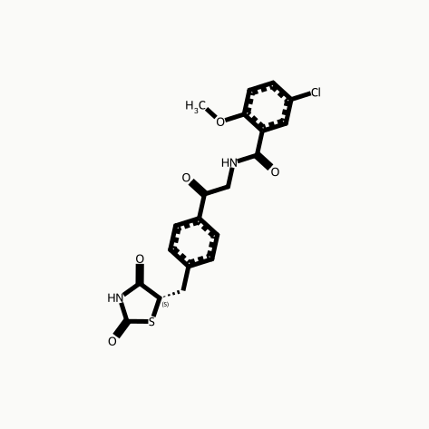 COc1ccc(Cl)cc1C(=O)NCC(=O)c1ccc(C[C@@H]2SC(=O)NC2=O)cc1